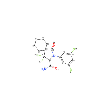 NC(=O)C1N(c2cc(F)cc(F)c2)C(=O)C2(C[CH]CCC2)C1(F)F